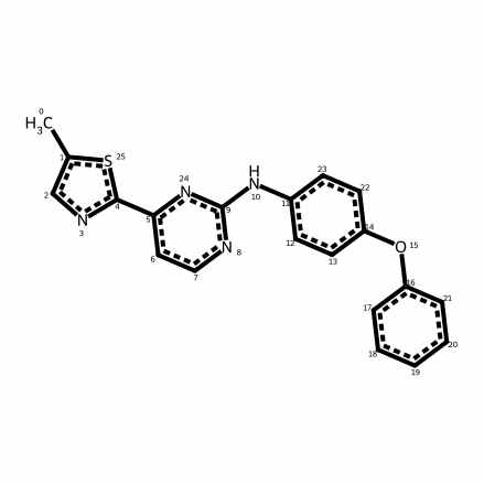 Cc1cnc(-c2ccnc(Nc3ccc(Oc4ccccc4)cc3)n2)s1